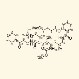 COCCCCOc1ccccc1C(=O)NC[C@@H](C[C@H](NC(=O)OC(C)(C)C)[C@@H](C[C@H](C(=O)NCCC(=O)N1CCOCC1)C(C)CO[SiH](C)C)C(C)(C)C)C(C)C